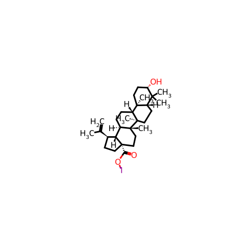 C=C(C)[C@@H]1CC[C@]2(C(=O)OI)CC[C@]3(C)[C@H](CC[C@@H]4[C@@]5(C)CC[C@H](O)C(C)(C)[C@@H]5CC[C@]43C)[C@@H]12